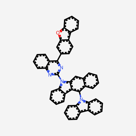 c1ccc2c(-n3c4ccccc4c4ccccc43)c3c4ccccc4n(-c4nc(-c5ccc6c(c5)oc5ccccc56)c5ccccc5n4)c3cc2c1